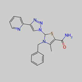 CC1=C(C(N)=O)SC(n2cc(-c3ccccn3)nn2)N1Cc1ccccc1